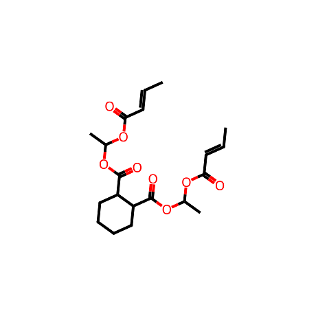 CC=CC(=O)OC(C)OC(=O)C1CCCCC1C(=O)OC(C)OC(=O)C=CC